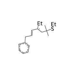 CCSC(C)(C)C[C](C=CCc1ccccc1)CC